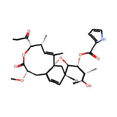 CO[C@H]1CC2C=C[C@@H]3C[C@]2(O[C@H]3[C@H](OC(=O)c2ccc[nH]2)[C@H](C)[C@H](C)O)/C(C)=C/[C@@H](C)[C@@H](C(C)=O)OC1=O